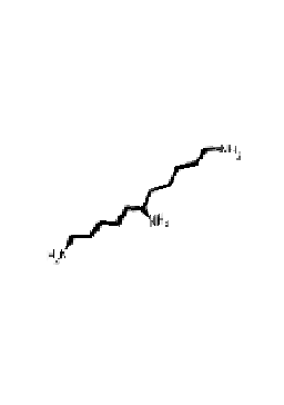 NCCCCCC(N)CCCCCN